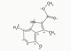 COC(=O)c1[nH]c2c(C)ccc(Cl)c2c1C